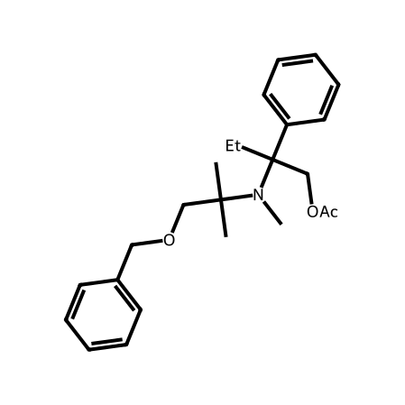 CCC(COC(C)=O)(c1ccccc1)N(C)C(C)(C)COCc1ccccc1